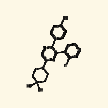 N#Cc1ccc(-c2ncc(N3CCS(O)(O)CC3)nc2-c2ccncc2Cl)cc1